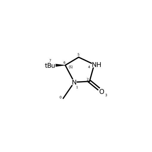 CN1C(=O)NC[C@@H]1C(C)(C)C